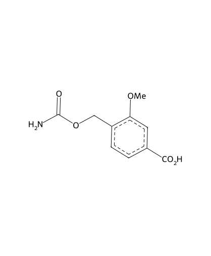 COc1cc(C(=O)O)ccc1COC(N)=O